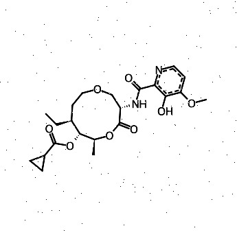 CC[C@H]1CCOC[C@H](NC(=O)c2nccc(OC)c2O)C(=O)O[C@@H](C)[C@@H]1OC(=O)C1CC1